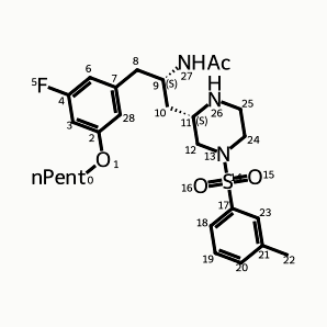 CCCCCOc1cc(F)cc(C[C@@H](C[C@H]2CN(S(=O)(=O)c3cccc(C)c3)CCN2)NC(C)=O)c1